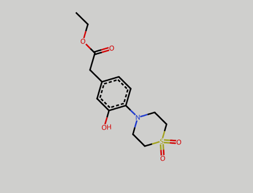 CCOC(=O)Cc1ccc(N2CCS(=O)(=O)CC2)c(O)c1